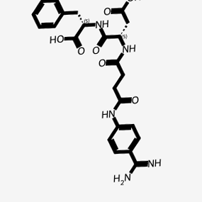 N=C(N)c1ccc(NC(=O)CCC(=O)N[C@@H](CC(=O)O)C(=O)N[C@@H](Cc2ccccc2)C(=O)O)cc1